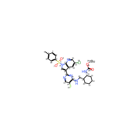 Cc1ccc(S(=O)(=O)n2cc(-c3ncc(F)c(NC[C@@H]4CCCC[C@H]4NC(=O)OC(C)(C)C)n3)c3cc(Cl)cnc32)cc1